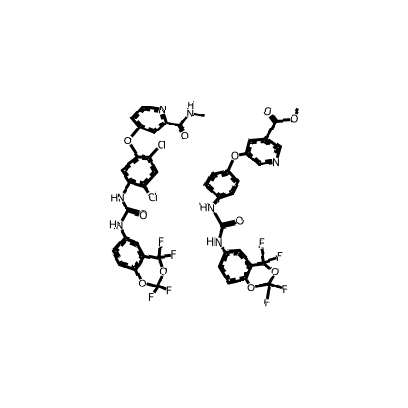 CNC(=O)c1cc(Oc2cc(NC(=O)Nc3ccc4c(c3)C(F)(F)OC(F)(F)O4)c(Cl)cc2Cl)ccn1.COC(=O)c1cncc(Oc2ccc(NC(=O)Nc3ccc4c(c3)C(F)(F)OC(F)(F)O4)cc2)c1